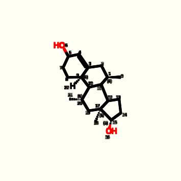 C[C@@H]1CC2=CC(O)CC[C@@H]2C2C1C1CC[C@H](O)[C@@]1(C)C[C@@H]2C